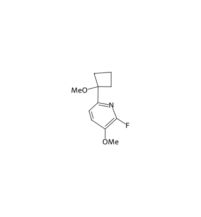 COc1ccc(C2(OC)CCC2)nc1F